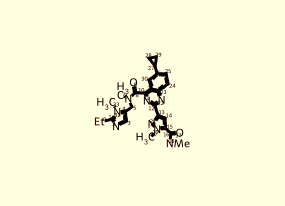 CCc1ncc(CN(C)C(=O)c2nc(-c3cc(C(=O)NC)n(C)n3)nc3ccc(C4CC4)cc23)n1C